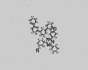 N#Cc1cccc(-c2nc(-c3ccccc3)nc(-c3ccc4c(c3)C3C(=CC=CC3c3cccc(-c5cccc(-c6ccccc6)c5)c3)O4)n2)c1